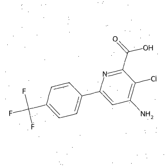 Nc1cc(-c2ccc(C(F)(F)F)cc2)nc(C(=O)O)c1Cl